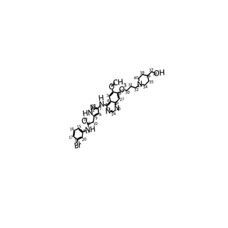 COc1cc2c(Nc3cc(CC(=O)Nc4cccc(Br)c4)[nH]n3)ncnc2cc1OCCCN1CCC(CO)CC1